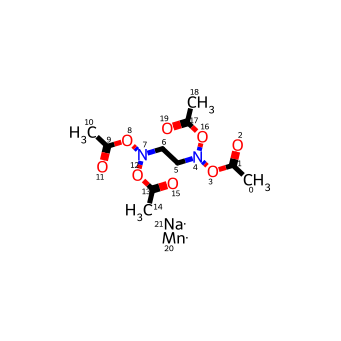 CC(=O)ON(CCN(OC(C)=O)OC(C)=O)OC(C)=O.[Mn].[Na]